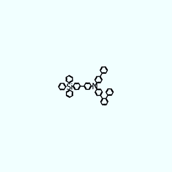 c1ccc(-c2ccc(N(c3ccc(-c4ccc([Si](c5ccccc5)(c5ccccc5)c5ccccc5)cc4)cc3)c3ccc(-c4ccccc4-c4ccccc4)cc3)cc2)cc1